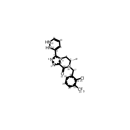 C[C@H]1Cn2c(nnc2C2=CC=CNN2)C(=O)N1Cc1cccc(C(F)(F)F)c1Cl